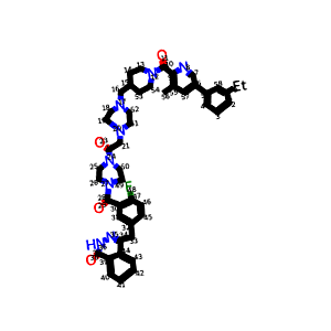 CCc1cccc(-c2cnc(C(=O)N3CCC(CN4CCN(CC(=O)N5CCN(C(=O)c6cc(Cc7n[nH]c(=O)c8ccccc78)ccc6F)CC5)CC4)CC3)c(C)c2)c1